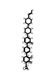 C/C=C/C1CCC(C2CCC(c3ccc(-c4ccc(-c5ccc(C6CO6)c(F)c5F)cc4)c(F)c3)CC2)CC1